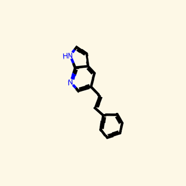 C(=C\c1cnc2[nH]ccc2c1)/c1ccccc1